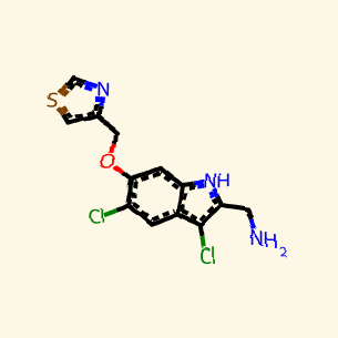 NCc1[nH]c2cc(OCc3cscn3)c(Cl)cc2c1Cl